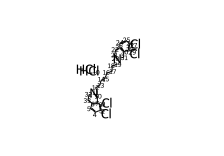 Cl.Cl.Clc1ccc2c(c1Cl)CN(CCCCCCCCN1CCc3ccc(Cl)c(Cl)c3C1)CC2